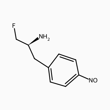 N[C@H](CF)Cc1ccc(N=O)cc1